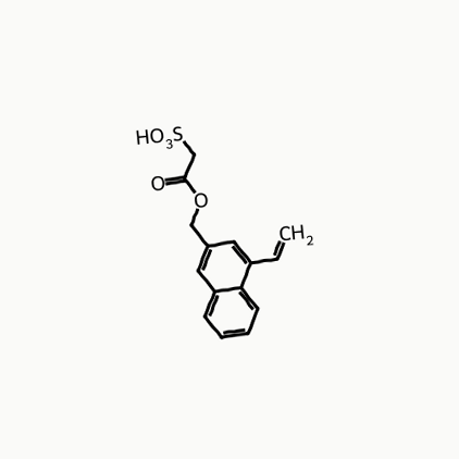 C=Cc1cc(COC(=O)CS(=O)(=O)O)cc2ccccc12